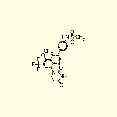 COc1c(C(F)(F)F)cc(N2CCC(=O)NC2=O)c2ncc(-c3ccc(NS(C)(=O)=O)cc3)cc12